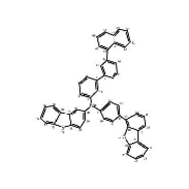 c1cc(-c2cccc(N(c3ccc(-c4cccc5c4oc4ccccc45)cc3)c3ccc4sc5ccccc5c4c3)c2)cc(-c2cccc3ccccc23)c1